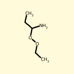 CCOOC(N)CC